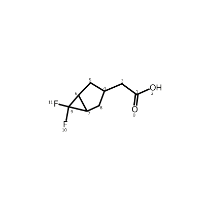 O=C(O)CC1CC2C(C1)C2(F)F